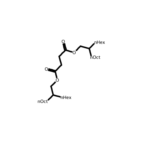 CCCCCCCCC(CCCCCC)COC(=O)CCC(=O)OCC(CCCCCC)CCCCCCCC